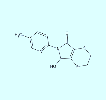 Cc1ccc(N2C(=O)C3=C(SCCS3)C2O)nc1